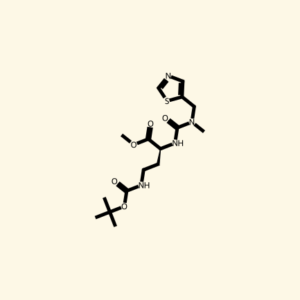 COC(=O)[C@H](CCNC(=O)OC(C)(C)C)NC(=O)N(C)Cc1cncs1